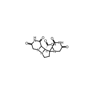 O=C1CN2C(C(=O)N1)C21CCN2N3CC(=O)NC(=O)C3[C@]21C(=O)O